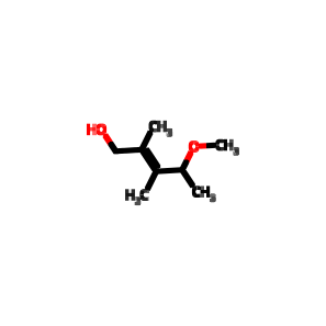 COC(C)/C(C)=C(\C)CO